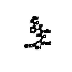 CCCCCC(CN(O)C=O)C(=O)NN(CCCC)C(=O)[C@@H]1CCCN1C(=O)OC(C)(C)C